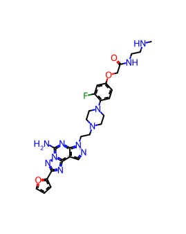 CNCCNC(=O)COc1ccc(N2CCN(CCn3ncc4c3nc(N)n3nc(-c5ccco5)nc43)CC2)c(F)c1